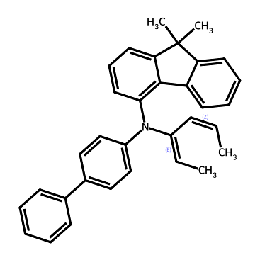 C/C=C\C(=C/C)N(c1ccc(-c2ccccc2)cc1)c1cccc2c1-c1ccccc1C2(C)C